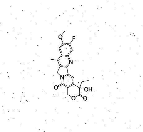 CC[C@@]1(O)C(=O)OCc2c1cc1n(c2=O)Cc2c-1nc1cc(F)c(OC)cc1c2C